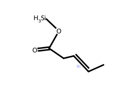 C/C=C/CC(=O)O[SiH3]